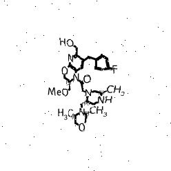 COC[C@H]1COc2nc(CO)c(Cc3ccc(F)cc3)cc2N1C(=O)CN1C[C@@H](C)NC[C@@H]1CN1[C@H](C)COC[C@H]1C